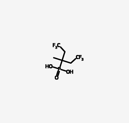 CC(CC(F)(F)F)(CC(F)(F)F)P(=O)(O)O